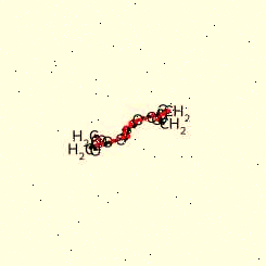 C=CC(=O)OCC(COCCCCOc1ccc(-c2ccc3cc(OCCCCOCC(COC(=O)C=C)OC(=O)C=C)ccc3c2)cc1)OC(=O)C=C